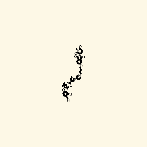 CN1C(=O)CCC(N2C(=O)c3ccc(OCCCCN4CCC(n5cc(C(=O)NC6C(C)(C)C(Oc7ccc(C#N)c(Cl)c7)C6(C)C)cn5)C4)cc3C2=O)C1=O